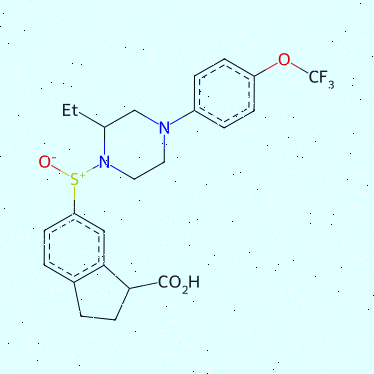 CCC1CN(c2ccc(OC(F)(F)F)cc2)CCN1[S+]([O-])c1ccc2c(c1)C(C(=O)O)CC2